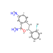 NC(=O)c1cc(N)ccc1CCc1ccccc1F